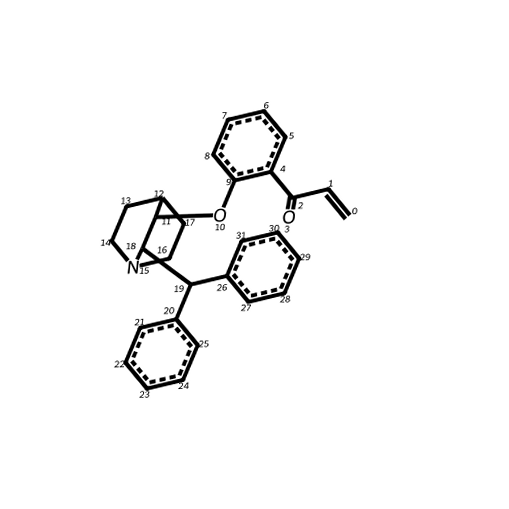 C=CC(=O)c1ccccc1OC1C2CCN(CC2)C1C(c1ccccc1)c1ccccc1